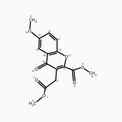 COC(=O)Cc1c(C(=O)OC)oc2ccc(OC)cc2c1=O